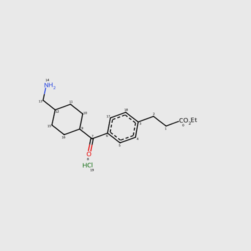 CCOC(=O)CCc1ccc(C(=O)C2CCC(CN)CC2)cc1.Cl